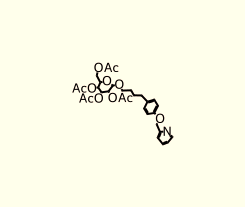 CC(=O)OCC1OC(OCCCCc2ccc(OCc3ccccn3)cc2)C(OC(C)=O)C(OC(C)=O)C1OC(C)=O